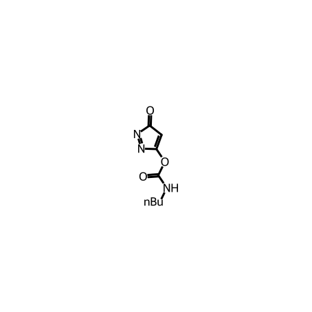 CCCCNC(=O)OC1=CC(=O)N=N1